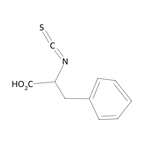 O=C(O)C(Cc1ccccc1)N=C=S